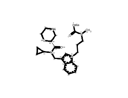 COC(=O)N(C)CCCn1cc(CN(C(=O)[C@H]2CNCCO2)C2CC2)c2ccccc21